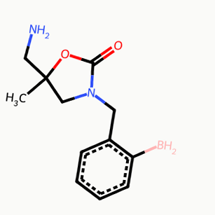 Bc1ccccc1CN1CC(C)(CN)OC1=O